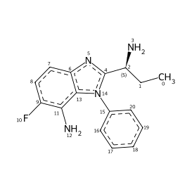 CC[C@H](N)c1nc2ccc(F)c(N)c2n1-c1ccccc1